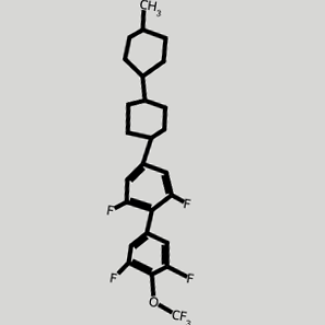 CC1CCC(C2CCC(c3cc(F)c(-c4cc(F)c(OC(F)(F)F)c(F)c4)c(F)c3)CC2)CC1